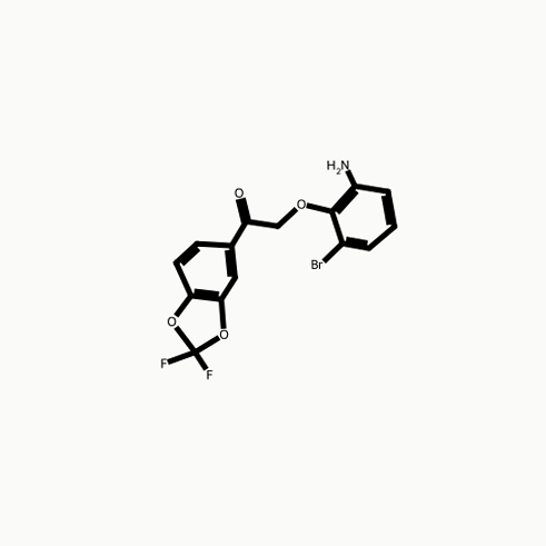 Nc1cccc(Br)c1OCC(=O)c1ccc2c(c1)OC(F)(F)O2